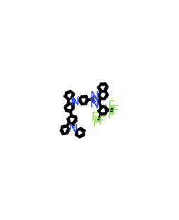 FC(F)(F)c1cc(-c2nc(-c3ccc(-n4c5ccccc5c5ccc(-c6ccc7c(c6)c6ccccc6n7-c6ccccc6)cc54)cc3)nc3c2ccc2ccccc23)cc(C(F)(F)F)c1